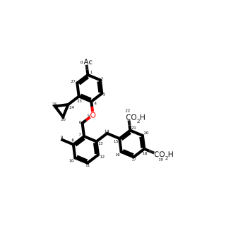 CC(=O)c1ccc(OCc2c(C)cccc2Cc2ccc(C(=O)O)cc2C(=O)O)c(C2CC2)c1